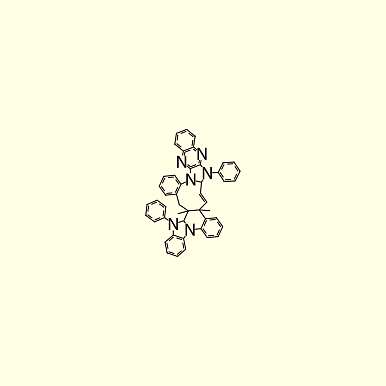 CC12/C=C/C3N(c4ccccc4)c4nc5ccccc5nc4N3c3ccccc3CC1(C)C1N(c3ccccc3)c3ccccc3N1c1ccccc12